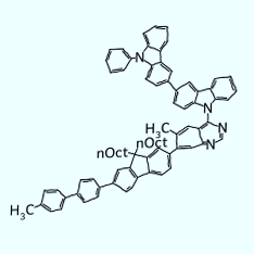 CCCCCCCCC1(CCCCCCCC)c2cc(-c3ccc(-c4ccc(C)cc4)cc3)ccc2-c2ccc(-c3cc4ncnc(-n5c6ccccc6c6cc(-c7ccc8c(c7)c7ccccc7n8-c7ccccc7)ccc65)c4cc3C)cc21